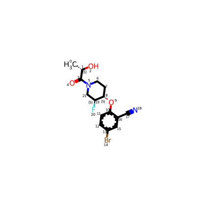 C[C@H](O)C(=O)N1CC[C@H](Oc2ccc(Br)cc2C#N)[C@@H](F)C1